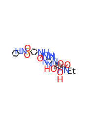 CCNC(=O)[C@H]1O[C@@H](n2cnc3c(NC(=O)Nc4ccc(S(=O)(=O)NCc5ccccc5)cc4)ncnc32)[C@@H](O)C1O